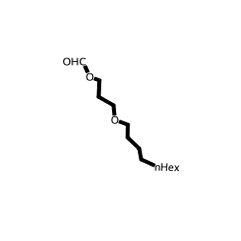 CCCCCCCCCCOCCCOC=O